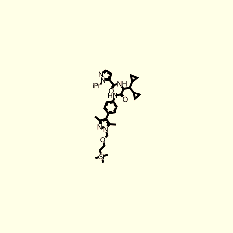 Cc1nn(COCC[Si](C)(C)C)c(C)c1-c1ccc(NC(=O)C(NC(=O)c2ccnn2C(C)C)C(C2CC2)C2CC2)cc1